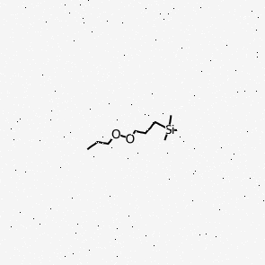 CCCOOCCC[Si](C)(C)C